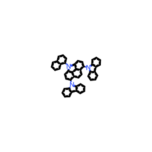 c1ccc2c(-n3c4ccc(-n5c6ccccc6c6ccccc65)c5ccc6c(-n7c8ccccc8c8ccccc87)ccc3c6c54)cccc2c1